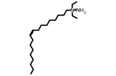 CCCCCCCC/C=C\CCCCCCCC[N+](N)(CC)CC